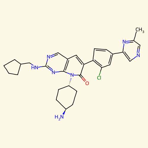 Cc1cncc(-c2ccc(-c3cc4cnc(NCC5CCCC5)nc4n([C@H]4CC[C@H](N)CC4)c3=O)c(Cl)c2)n1